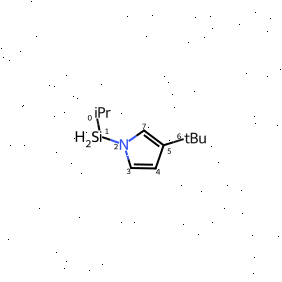 CC(C)[SiH2]n1ccc(C(C)(C)C)c1